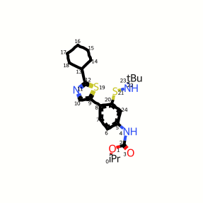 CC(C)OC(=O)Nc1ccc(-c2cnc(C3CCCCC3)s2)c(SNC(C)(C)C)c1